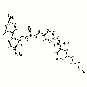 [CH2]c1cc(N)ccc1-c1ccc(N)cc1COC(=O)/C=C/c1ccc(OC(F)(F)C2CCCC(CCCCC)C2)cc1